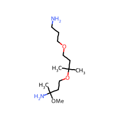 COC(C)(N)CCOC(C)(C)CCOCCCN